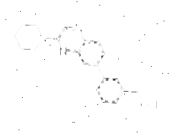 OCc1cccc(-c2ccc3ncc(N4CCCCC4)nc3c2)c1